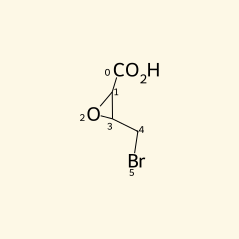 O=C(O)C1OC1CBr